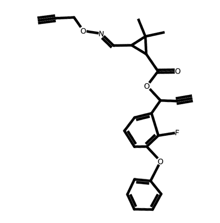 C#CCO/N=C/C1C(C(=O)OC(C#C)c2cccc(Oc3ccccc3)c2F)C1(C)C